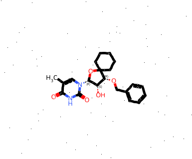 Cc1cn([C@@H]2OC3(CCCCC3)[C@H](OCc3ccccc3)[C@@H]2O)c(=O)[nH]c1=O